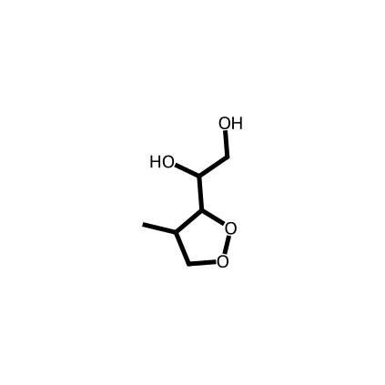 CC1COOC1C(O)CO